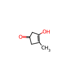 CC1=C(O)CC(=O)C1